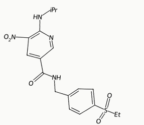 CCS(=O)(=O)c1ccc(CNC(=O)c2cnc(NC(C)C)c([N+](=O)[O-])c2)cc1